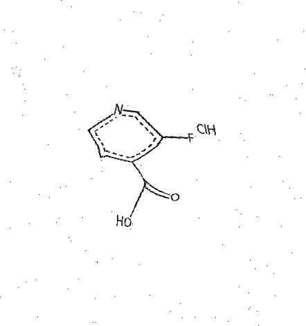 Cl.O=C(O)c1ccncc1F